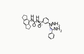 N/C(=C\N(N)c1cccc([S+]([O-])NC(=O)Nc2c3c(cc4c2CCC4)CCC3)c1)c1ccccc1